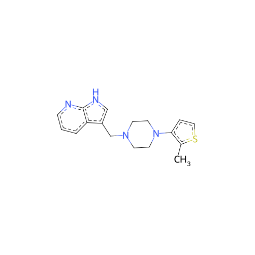 Cc1sccc1N1CCN(Cc2c[nH]c3ncccc23)CC1